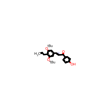 C=CCc1c(OC(C)(C)C)cc(/C=C/C(=O)c2ccc(O)cc2)cc1OC(C)(C)C